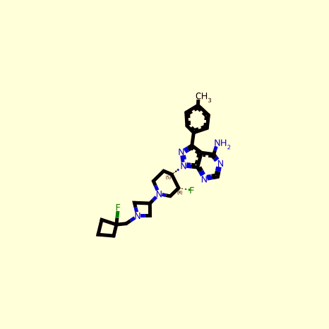 Cc1ccc(-c2nn([C@H]3CCN(C4CN(CC5(F)CCC5)C4)C[C@H]3F)c3ncnc(N)c23)cc1